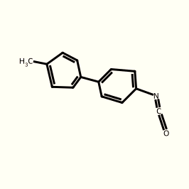 Cc1ccc(-c2ccc(N=C=O)cc2)cc1